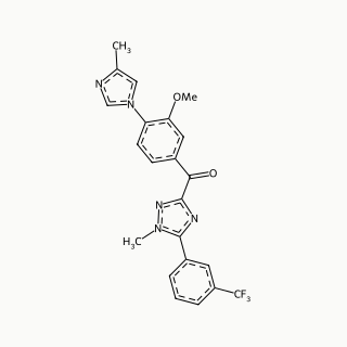 COc1cc(C(=O)c2nc(-c3cccc(C(F)(F)F)c3)n(C)n2)ccc1-n1cnc(C)c1